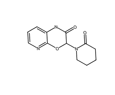 O=C1[N]c2cccnc2OC1N1CCCCC1=O